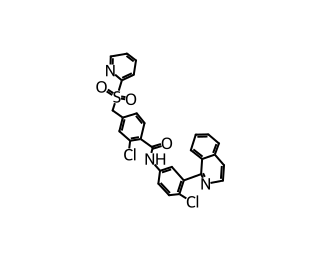 O=C(Nc1ccc(Cl)c(-c2nccc3ccccc23)c1)c1ccc(CS(=O)(=O)c2ccccn2)cc1Cl